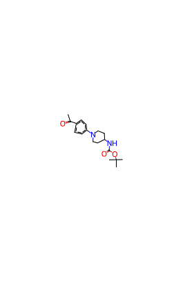 CC(=O)c1ccc(N2CCC(NC(=O)OC(C)(C)C)CC2)cc1